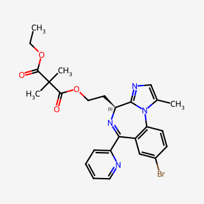 CCOC(=O)C(C)(C)C(=O)OCC[C@@H]1N=C(c2ccccn2)c2cc(Br)ccc2-n2c(C)cnc21